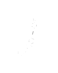 C=CC(=O)Oc1ccc(C#Cc2ccc(N)cc2)cc1